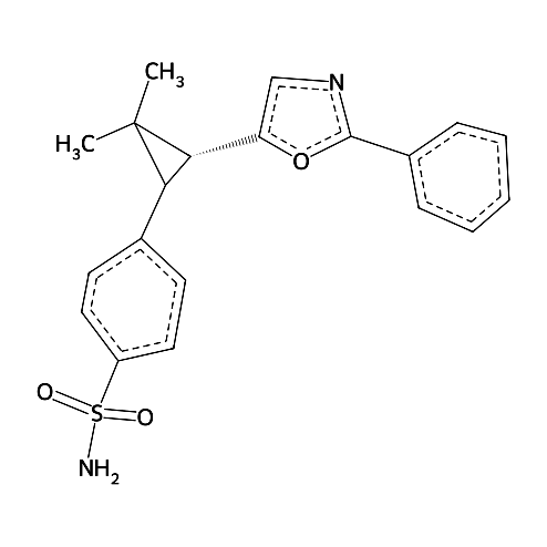 CC1(C)C(c2ccc(S(N)(=O)=O)cc2)[C@H]1c1cnc(-c2ccccc2)o1